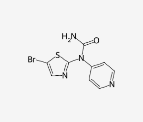 NC(=O)N(c1ccncc1)c1ncc(Br)s1